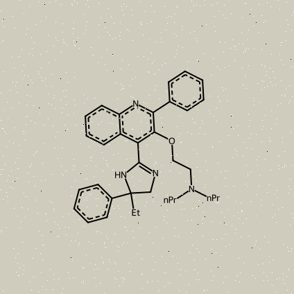 CCCN(CCC)CCOc1c(-c2ccccc2)nc2ccccc2c1C1=NCC(CC)(c2ccccc2)N1